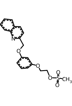 CS(=O)(=O)OCCOc1cccc(OCc2ccc3ccccc3n2)c1